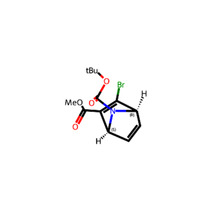 COC(=O)C1=C(Br)[C@H]2C=C[C@@H]1N2C(=O)OC(C)(C)C